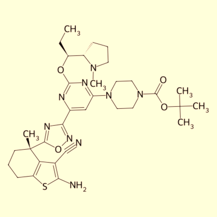 CC[C@H](Oc1nc(-c2noc([C@@]3(C)CCCc4sc(N)c(C#N)c43)n2)cc(N2CCN(C(=O)OC(C)(C)C)CC2)n1)[C@@H]1CCCN1C